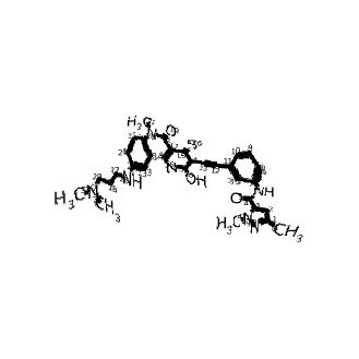 Cc1cc(C(=O)Nc2cccc(C#CC3C(=S)C(C(=O)N(C)c4ccc(NCCCN(C)C)cc4)=CN=C3O)c2)n(C)n1